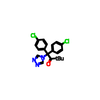 CC(C)(C)C(=O)C(c1ccc(Cl)cc1)(c1ccc(Cl)cc1)n1cnnc1